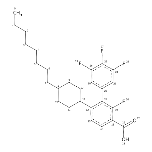 CCCCCCCCC1CCC(c2ccc(C(=O)O)c(F)c2-c2cc(F)c(F)c(F)c2)CC1